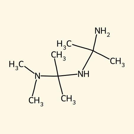 CN(C)C(C)(C)NC(C)(C)N